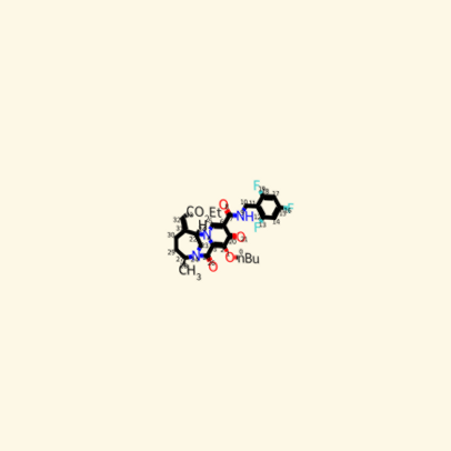 CCCCOc1c2n(cc(C(=O)NCc3c(F)cc(F)cc3F)c1=O)[C@@H]1CN(C2=O)[C@@H](C)CCC1=CC(=O)OCC